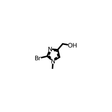 Cn1cc(CO)nc1Br